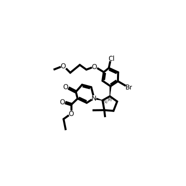 CCOC(=O)c1cn([C@H]2[C@@H](c3cc(OCCCOC)c(Cl)cc3Br)CCC2(C)C)ccc1=O